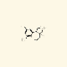 Clc1cc(Br)c2c(c1)[C@H]1CNC[C@@H]1CCO2